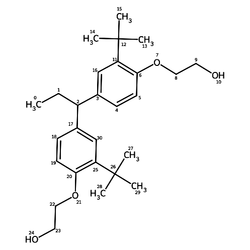 CCC(c1ccc(OCCO)c(C(C)(C)C)c1)c1ccc(OCCO)c(C(C)(C)C)c1